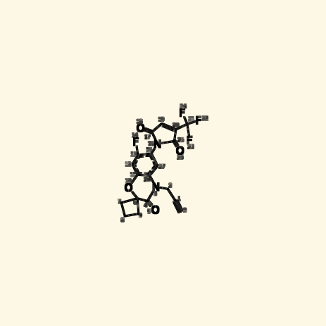 C#CCN1C(=O)C2(CCC2)Oc2cc(F)c(N3C(=O)C=C(C(F)(F)F)C3=O)cc21